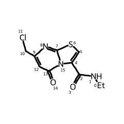 CCNC(=O)c1csc2nc(CCl)cc(=O)n12